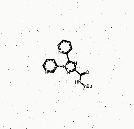 CCCCNC(=O)c1nc(-c2ccccn2)n(-c2cccnc2)n1